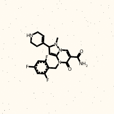 CN1C(C2=CCNCC2)C=C2N(Cc3c(F)cc(F)cc3F)C(=O)C(C(N)=O)=CN21